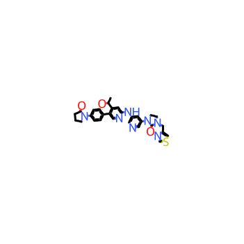 CC1Oc2cc(N3CCCC3=O)ccc2-c2cnc(Nc3cncc(N4CCN(Cc5cscn5)C4=O)c3)cc21